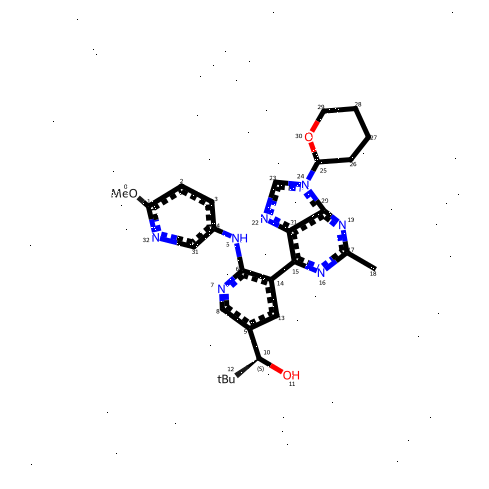 COc1ccc(Nc2ncc([C@@H](O)C(C)(C)C)cc2-c2nc(C)nc3c2ncn3C2CCCCO2)cn1